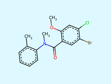 COc1cc(Cl)c(Br)cc1C(=O)N(C)c1ccccc1C